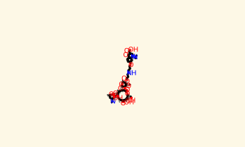 CC[C@H]1OC(=O)[C@H](C)[C@@H](O[C@H]2C[C@@H](OC)[C@@H](OC(=O)CCNCCCOc3ccc4c(=O)c(C(=O)O)cn(N(C)C)c4c3)[C@H](C)O2)[C@H](C)[C@@H](O[C@@H]2O[C@H](C)C[C@H](N(C)C)[C@H]2O)[C@](C)(OC)C[C@@H](C)C(=O)[C@@H](O)[C@]1(C)O